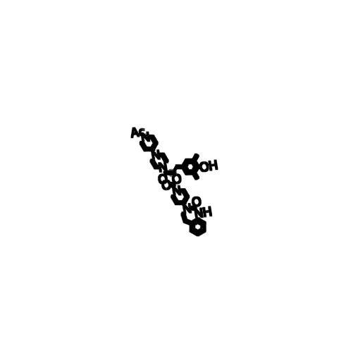 CC(=O)N1CCC(N2CCN(C(=O)[C@@H](Cc3cc(C)c(O)c(C)c3)OC(=O)N3CCC(N4CCc5ccccc5NC4=O)CC3)CC2)CC1